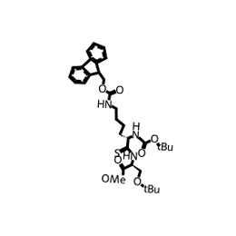 COC(=O)[C@H](COC(C)(C)C)NC(=S)[C@H](CCCCNC(=O)OCC1c2ccccc2-c2ccccc21)NC(=O)OC(C)(C)C